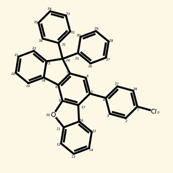 Clc1ccc(-c2cc3c(c4oc5ccccc5c24)-c2ccccc2C3(c2ccccc2)c2ccccc2)cc1